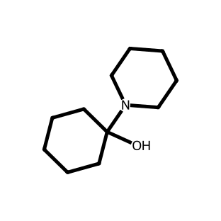 OC1(N2CCCCC2)CCCCC1